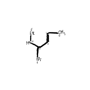 CC=CC(CCC)NCC